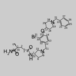 C[C@@H](C[CH]C(=O)N[C@H]1CCN(Cc2ccc(OC3CCN(Cc4ccccc4)CC3)c(Br)c2)C1)C(N)=O